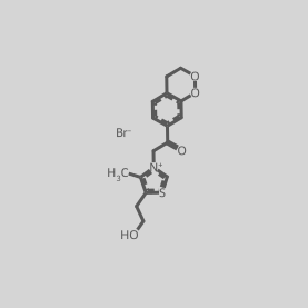 Cc1c(CCO)sc[n+]1CC(=O)c1ccc2c(c1)OOCC2.[Br-]